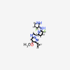 COc1cc2ncc(-c3ccc(F)c(NC4CNCCC4F)n3)n2nc1C1CC1